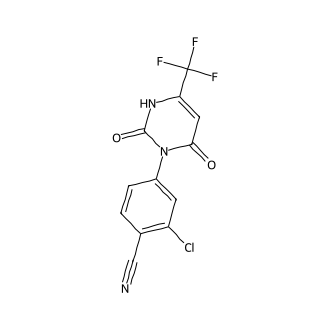 N#Cc1ccc(-n2c(=O)cc(C(F)(F)F)[nH]c2=O)cc1Cl